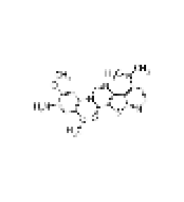 COc1cc(-n2cnc3c(sc4nccc(N(C)C)c43)c2=O)c(OC)cc1N